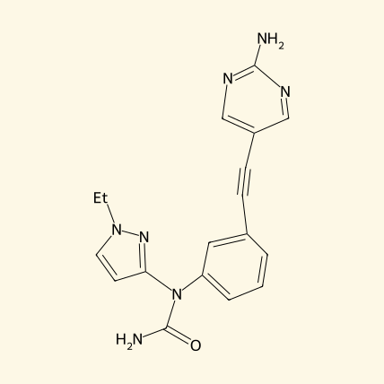 CCn1ccc(N(C(N)=O)c2cccc(C#Cc3cnc(N)nc3)c2)n1